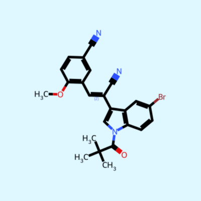 COc1ccc(C#N)cc1/C=C(\C#N)c1cn(C(=O)C(C)(C)C)c2ccc(Br)cc12